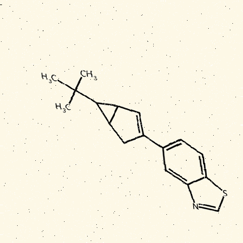 CC(C)(C)C1C2C=C(c3ccc4scnc4c3)CC21